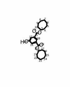 O=C(OC1CCCCCCC1)c1cc(O)cc(C(=O)OC2CCCCCCC2)c1